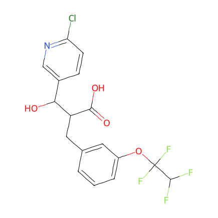 O=C(O)C(Cc1cccc(OC(F)(F)C(F)F)c1)C(O)c1ccc(Cl)nc1